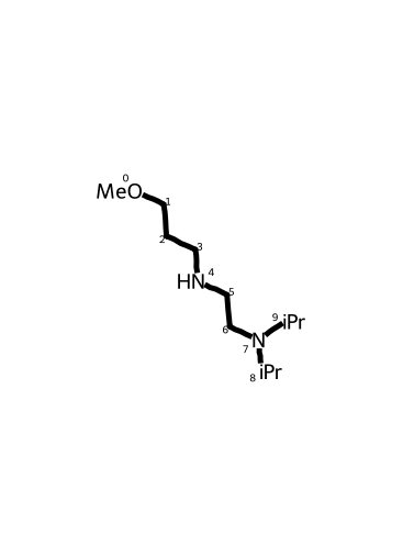 COCCCNCCN(C(C)C)C(C)C